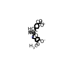 COc1cc(/C=C\C(=O)NCC2(O)CCC(C)(C(=O)[O-])CC2)ccc1[O-].[Na+].[Na+]